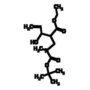 C=CC(O)C(CN(C)C(=O)OC(C)(C)C)C(=O)OCC